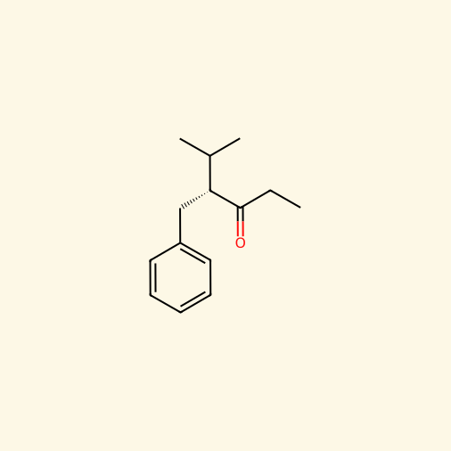 CCC(=O)[C@H](Cc1ccccc1)C(C)C